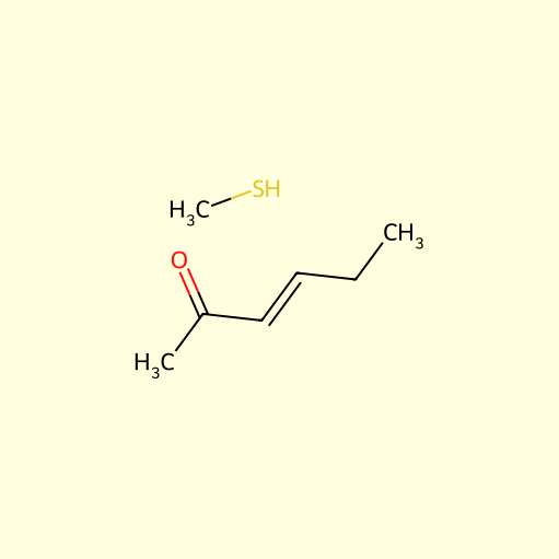 CCC=CC(C)=O.CS